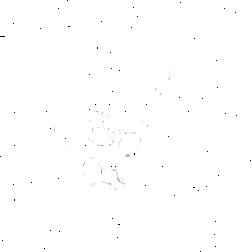 C[C@@H](Oc1ccc2[nH]nc(-c3ccc(N4CC5(CCN(C(=O)CC(F)(F)F)CC5)C4)nc3)c2c1)c1ccnc2[nH]ccc12